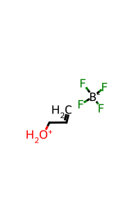 C=CC[OH2+].F[B-](F)(F)F